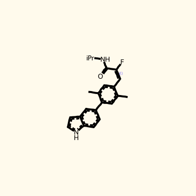 Cc1cc(-c2ccc3[nH]ccc3c2)c(C)cc1/C=C(/F)C(=O)NC(C)C